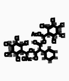 CC(=O)OC(OC(=O)C(C(=O)OC(OC(C)=O)c1c(Cl)c(Cl)c(Cl)c(Cl)c1Cl)c1ccccc1)c1c(Cl)c(Cl)c(Cl)c(Cl)c1Cl